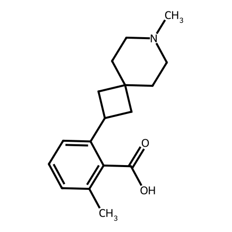 Cc1cccc(C2CC3(CCN(C)CC3)C2)c1C(=O)O